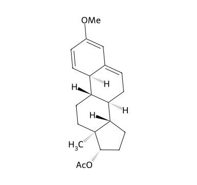 COC1=CC2=CC[C@@H]3[C@H](CC[C@]4(C)[C@@H](OC(C)=O)CC[C@@H]34)[C@H]2C=C1